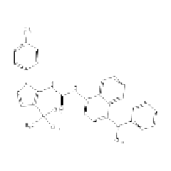 Cc1ccc(-n2ncc(C(C)(C)C)c2NC(=O)Nc2ccc(N(C)c3cccnc3)c3ccccc23)cc1